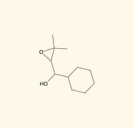 CC1(C)OC1C(O)C1CCCCC1